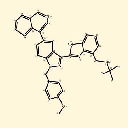 COc1ccc(Cn2nc(-c3nc4c(CNC(C)(C)C)cccc4[nH]3)c3cc(-c4cncc5ccccc45)ccc32)cc1